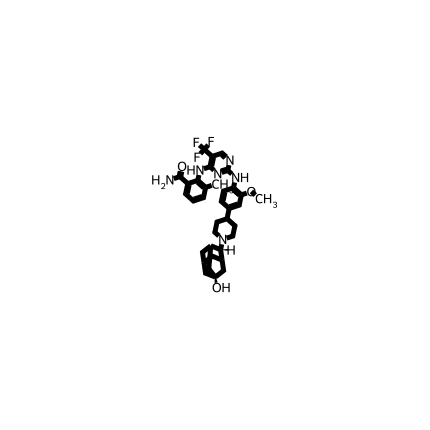 COc1cc(C2CCN([C@H]3C4CC5CC3C[C@@](O)(C5)C4)CC2)ccc1Nc1ncc(C(F)(F)F)c(Nc2c(C)cccc2C(N)=O)n1